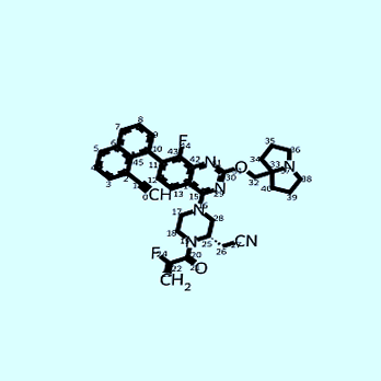 C#Cc1cccc2cccc(-c3ccc4c(N5CCN(C(=O)C(=C)F)[C@@H](CC#N)C5)nc(OCC56CCCN5CCC6)nc4c3F)c12